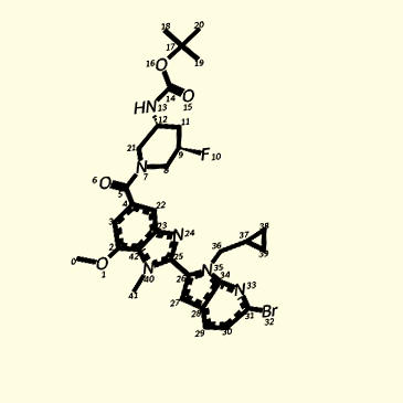 COc1cc(C(=O)N2C[C@H](F)C[C@@H](NC(=O)OC(C)(C)C)C2)cc2nc(-c3cc4ccc(Br)nc4n3CC3CC3)n(C)c12